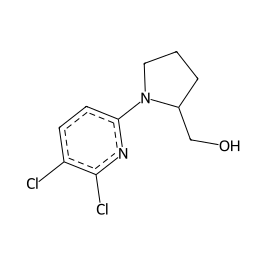 OCC1CCCN1c1ccc(Cl)c(Cl)n1